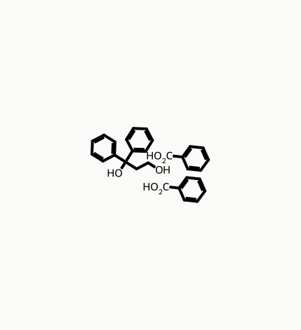 O=C(O)c1ccccc1.O=C(O)c1ccccc1.OCCC(O)(c1ccccc1)c1ccccc1